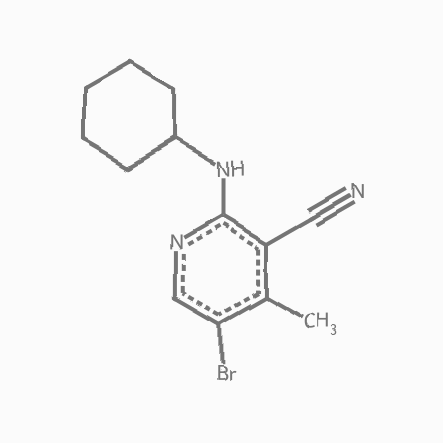 Cc1c(Br)cnc(NC2CCCCC2)c1C#N